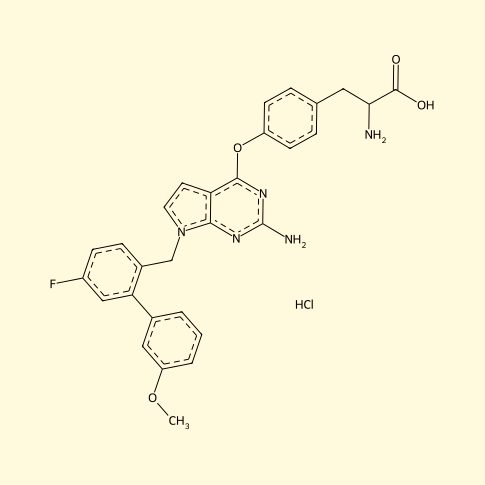 COc1cccc(-c2cc(F)ccc2Cn2ccc3c(Oc4ccc(CC(N)C(=O)O)cc4)nc(N)nc32)c1.Cl